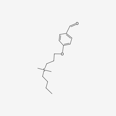 CCCCS(C)(C)CCCOc1ccc(C=O)cc1